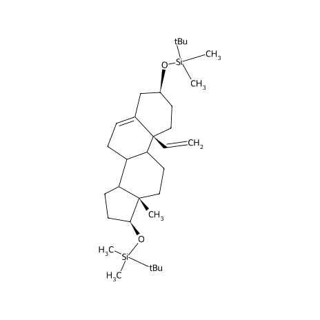 C=C[C@]12CC[C@H](O[Si](C)(C)C(C)(C)C)CC1=CCC1C2CC[C@@]2(C)C1CC[C@@H]2O[Si](C)(C)C(C)(C)C